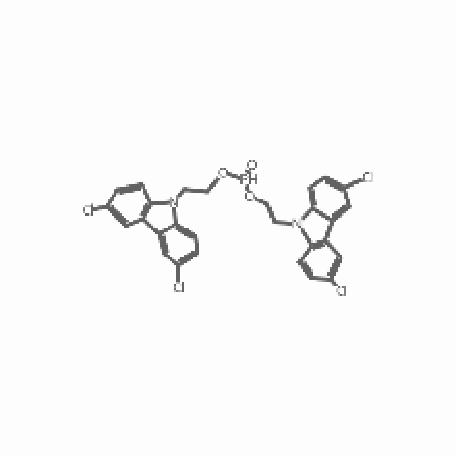 O=[PH](OCCn1c2ccc(Cl)cc2c2cc(Cl)ccc21)OCCn1c2ccc(Cl)cc2c2cc(Cl)ccc21